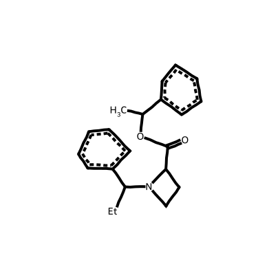 CCC(c1ccccc1)N1CCC1C(=O)OC(C)c1ccccc1